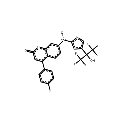 O=c1cc(-c2ccc(F)cc2)c2ccc([S@+]([O-])c3ncc(C(O)(C(F)(F)F)C(F)(F)F)s3)cc2o1